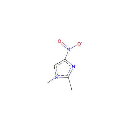 Cc1nc([N+](=O)[O-])cn1C